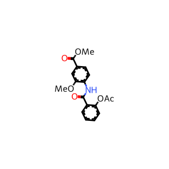 COC(=O)c1ccc(NC(=O)c2ccccc2OC(C)=O)c(OC)c1